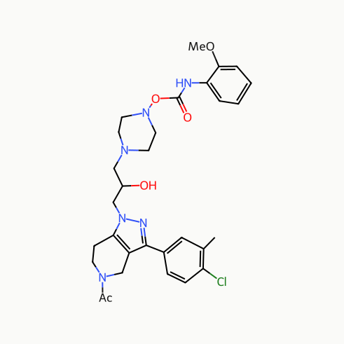 COc1ccccc1NC(=O)ON1CCN(CC(O)Cn2nc(-c3ccc(Cl)c(C)c3)c3c2CCN(C(C)=O)C3)CC1